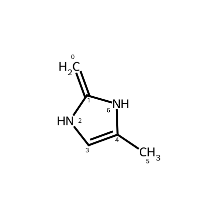 C=C1NC=C(C)N1